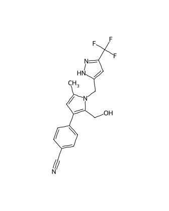 Cc1cc(-c2ccc(C#N)cc2)c(CO)n1Cc1cc(C(F)(F)F)n[nH]1